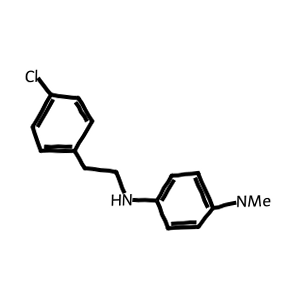 CNc1ccc(NCCc2ccc(Cl)cc2)cc1